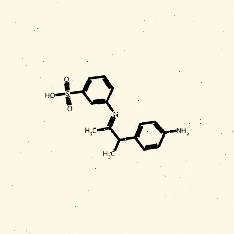 C/C(=N\c1cccc(S(=O)(=O)O)c1)C(C)c1ccc(N)cc1